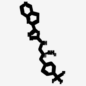 N[C@@H](CNc1nnc(-c2ccc3cnccc3n2)s1)Cc1ccc(C(F)(F)F)cc1